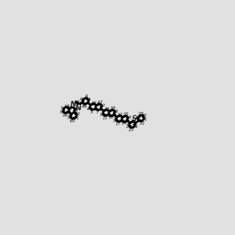 c1cc(-c2ccc3cc(-c4ccc5cc(-c6ccc7cc(-c8cccc9c8sc8ccccc89)ccc7c6)ccc5c4)ccc3c2)cc(-c2cnc3c4ccccc4c4ccccc4c3n2)c1